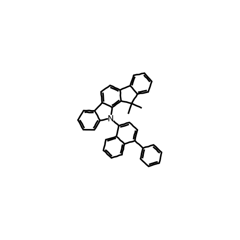 CC1(C)c2ccccc2-c2ccc3c4ccccc4n(-c4ccc(-c5ccccc5)c5ccccc45)c3c21